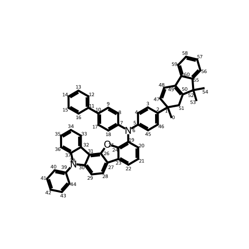 CC1(c2ccc(N(c3ccc(-c4ccccc4)cc3)c3cccc4c3oc3c4ccc4c3c3ccccc3n4-c3ccccc3)cc2)C=CC2=C(C1)C(C)(C)c1ccccc12